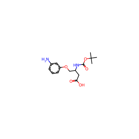 CC(C)(C)OC(=O)NC(COc1cccc(N)c1)CC(=O)O